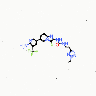 CCn1nnc(CCNC(=O)Nc2nc3ccc(-c4cnc(N)c(C(F)(F)F)c4)cn3c2F)n1